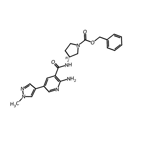 Cn1cc(-c2cnc(N)c(C(=O)N[C@@H]3CCN(C(=O)OCc4ccccc4)C3)c2)cn1